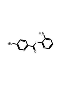 CC(C)(C)c1ccc(C(=O)Oc2ccccc2N)cc1